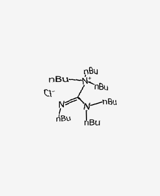 CCCC/N=C(\N(CCCC)CCCC)[N+](CCCC)(CCCC)CCCC.[Cl-]